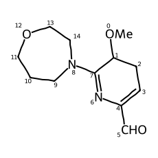 COC1CC=C(C=O)N=C1N1CCCOCC1